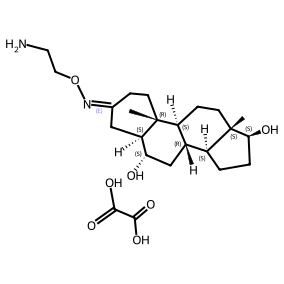 C[C@]12CC/C(=N\OCCN)C[C@@H]1[C@@H](O)C[C@@H]1[C@@H]2CC[C@]2(C)[C@@H](O)CC[C@@H]12.O=C(O)C(=O)O